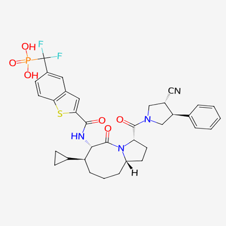 N#C[C@H]1CN(C(=O)[C@@H]2CC[C@@H]3CCC[C@@H](C4CC4)[C@H](NC(=O)c4cc5cc(C(F)(F)P(=O)(O)O)ccc5s4)C(=O)N32)C[C@@H]1c1ccccc1